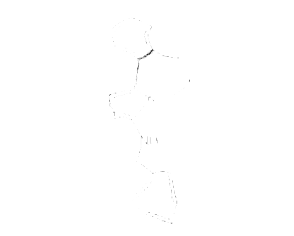 c1ccc(CNc2ncc3n2CCCc2ccccc2-3)cc1